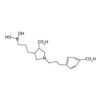 O=C(O)c1ccc(CCCN2CC(CCCB(O)O)C(C(=O)O)C2)cc1